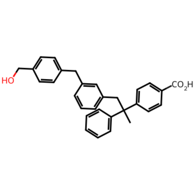 CC(Cc1cccc(Cc2ccc(CO)cc2)c1)(c1ccccc1)c1ccc(C(=O)O)cc1